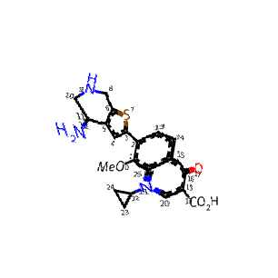 COc1c(-c2cc3c(s2)CNCC3N)ccc2c(=O)c(C(=O)O)cn(C3CC3)c12